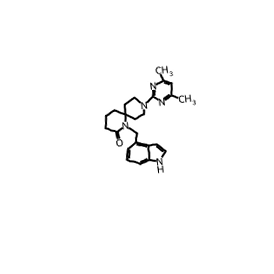 Cc1cc(C)nc(N2CCC3(CCCC(=O)N3Cc3cccc4[nH]ccc34)CC2)n1